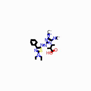 [C-]#[N+]c1nc(/N=N/c2sc(N(CC)CC)nc2-c2ccccc2)n(C(C)C(C)C(=O)O)c1[N+]#[C-]